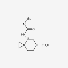 CC(C)(C)OC(=O)N[C@@H]1CN(C(=O)O)CCC12CC2